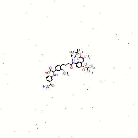 CCc1cc(C(Nc2cccc(C(N)=O)c2)C(=O)O)ccc1CCCC(=O)Nc1ccc(S(=O)(=O)C(C)C)c(CN(C)C(=O)OC(C)(C)C)c1